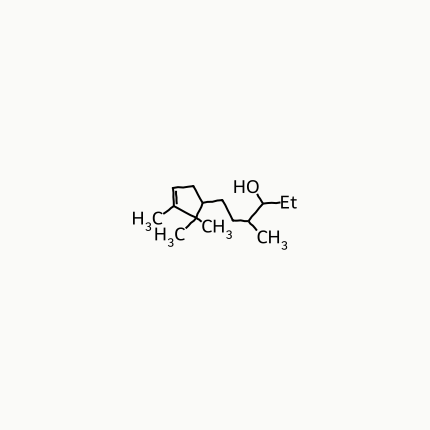 CCC(O)C(C)CCC1CC=C(C)C1(C)C